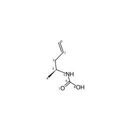 C=CC[C@H](C)NC(=O)O